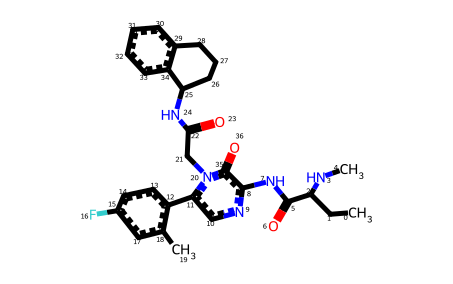 CCC(NC)C(=O)Nc1ncc(-c2ccc(F)cc2C)n(CC(=O)NC2CCCc3ccccc32)c1=O